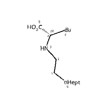 CCCCCCCCCN[C@H](C(=O)O)C(C)CC